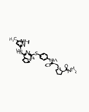 Cc1cc(Nc2nc(Sc3ccc(NC(=O)CN4CCCC4C(N)=O)cc3)nn3cccc23)n[nH]1